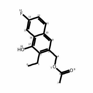 CCc1c(COC(C)=O)cc2ccc(F)cc2c1O